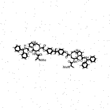 CN[C@@H](C)C(=O)N[C@H]1CN(C(=O)Oc2ccc(C(C)(C)c3ccc(OC(=O)N4CC[C@H]5CC[C@@H](C(=O)NC(c6ccccc6)c6ccccc6)N5C(=O)[C@@H](NC(=O)[C@H](C)NC)C4)cc3)cc2)CC[C@H]2CCC(C(=O)NC(c3ccccc3)c3ccccc3)N2C1=O